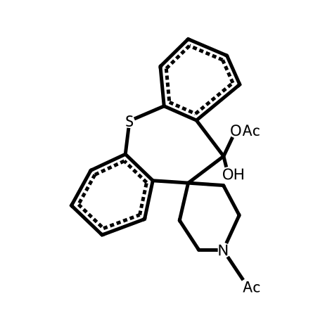 CC(=O)OC1(O)c2ccccc2Sc2ccccc2C12CCN(C(C)=O)CC2